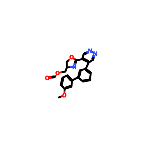 COc1cccc(-c2cccc(-c3cnncc3C3=NC(COC=O)CO3)c2)c1